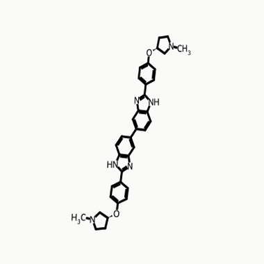 CN1CC[C@@H](Oc2ccc(-c3nc4cc(-c5ccc6[nH]c(-c7ccc(O[C@@H]8CCN(C)C8)cc7)nc6c5)ccc4[nH]3)cc2)C1